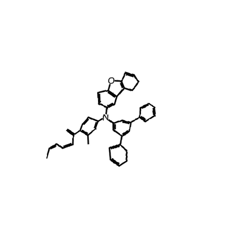 C=C(/C=C\C=C/C)c1ccc(N(c2cc(C3=CC=CCC3)cc(-c3ccccc3)c2)c2ccc3oc4c(c3c2)CCC=C4)cc1C